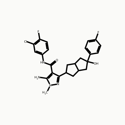 Cn1nc(C2CC3CC(O)(c4ccc(F)cc4)CC3C2)c(C(=O)Nc2ccc(F)c(Cl)c2)c1N